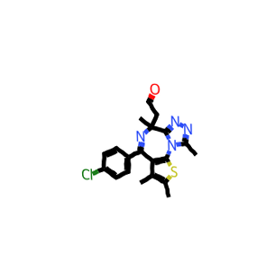 Cc1sc2c(c1C)C(c1ccc(Cl)cc1)=NC(C)(CC=O)c1nnc(C)n1-2